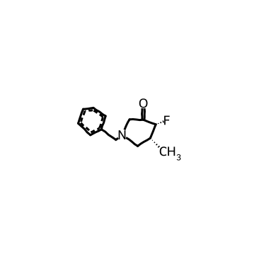 C[C@@H]1CN(Cc2ccccc2)CC(=O)[C@@H]1F